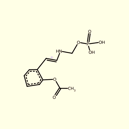 CC(=O)Oc1ccccc1/C=C/NCOP(=O)(O)O